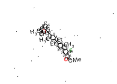 CCC(CC)(c1ccc(C#CC2(O[Si](C)(C)C)CCCCC2)c(C)c1)c1ccc(-c2ccc(CC(=O)OC)c(F)c2)c(C)c1